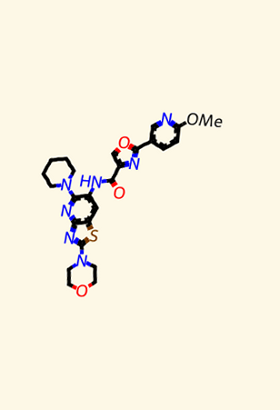 COc1ccc(-c2nc(C(=O)Nc3cc4sc(N5CCOCC5)nc4nc3N3CCCCC3)co2)cn1